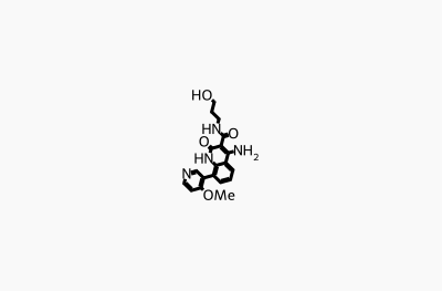 COc1ccncc1-c1cccc2c(N)c(C(=O)NCCCO)c(=O)[nH]c12